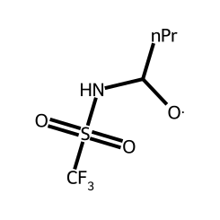 CCCC([O])NS(=O)(=O)C(F)(F)F